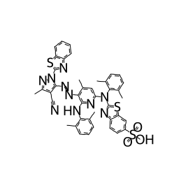 Cc1cc(N(c2nc3ccc(S(=O)(=O)O)cc3s2)c2c(C)cccc2C)nc(Nc2c(C)cccc2C)c1N=Nc1c(C#N)c(C)nn1-c1nc2ccccc2s1